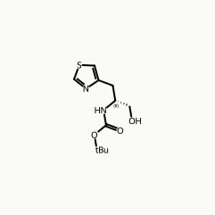 CC(C)(C)OC(=O)N[C@@H](CO)Cc1cscn1